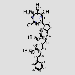 C=C1/C(C)=C\N(C2CCC(CN(CCCN(CCc3ccccc3)C(=O)OC(C)(C)C)C(=O)OC(C)(C)C)C2)/N=C(Cl)\N=C/1N